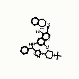 CC(C)(C)N1CCC(n2cc(C(Nc3cc(Cl)c4ncc(C#N)c(N[C@H]5CCCc6ccccc65)c4c3)c3ccccc3)nn2)CC1